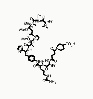 CC[C@H](C)[C@@H]([C@@H](CC(=O)N1CCC[C@H]1[C@H](OC)[C@@H](C)C(=O)N[C@@H](Cc1ccc(NC(=O)[C@H](CCCNC(N)=O)NC(=O)[C@@H](NC(=O)CCC(=O)N2CCC(C(=O)O)CC2)C(C)C)cc1)c1nccs1)OC)N(C)C(=O)[C@@H](NC(=O)[C@H](C(C)C)N(C)C)C(C)C